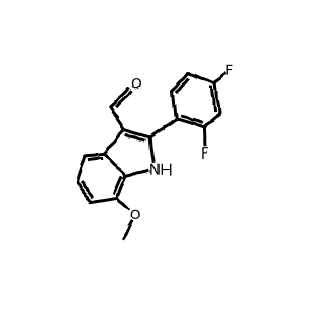 COc1cccc2c(C=O)c(-c3ccc(F)cc3F)[nH]c12